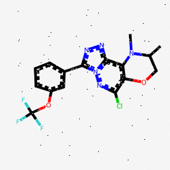 CC1COc2c(Cl)nn3c(-c4cccc(OC(F)(F)F)c4)nnc3c2N1C